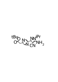 CC(C)n1nc(-c2cnc(CC(=O)OC(C)(C)C)cn2)c(C#N)c1N